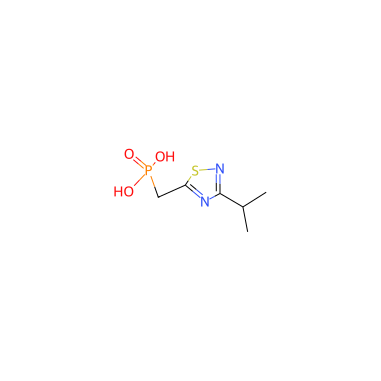 CC(C)c1nsc(CP(=O)(O)O)n1